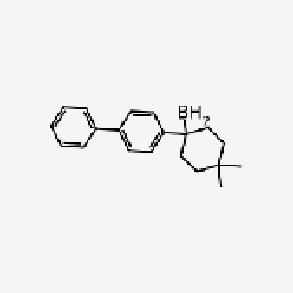 BC1(c2ccc(-c3ccccc3)cc2)CCC(C)(C)CC1